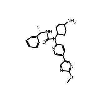 COc1ncc(-c2ccc(N(C(=O)N[C@@H](C)c3ccccc3)C3CCC(N)CC3)nc2)cn1